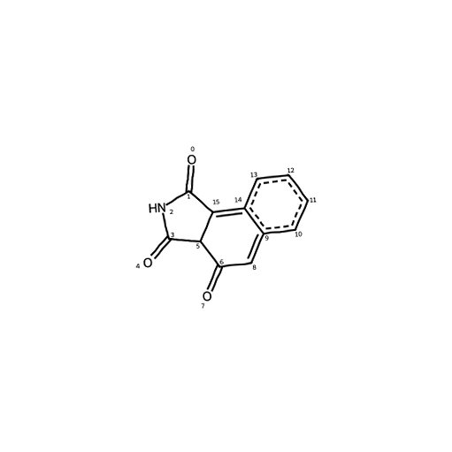 O=C1NC(=O)C2C(=O)C=c3ccccc3=C12